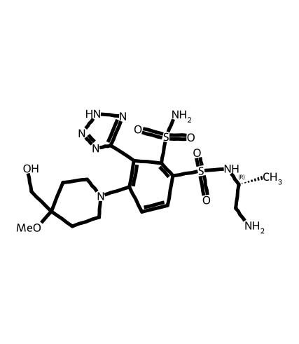 COC1(CO)CCN(c2ccc(S(=O)(=O)N[C@H](C)CN)c(S(N)(=O)=O)c2-c2nn[nH]n2)CC1